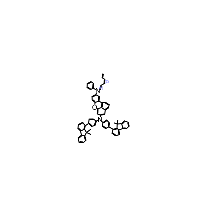 C=C/C=C\C=C\N(c1ccccc1)c1ccc2c(c1)-c1cccc3cc(N(c4ccc(-c5cccc6c5C(C)(C)c5ccccc5-6)cc4)c4ccc(-c5cccc6c5C(C)(C)c5ccccc5-6)cc4)cc(c13)O2